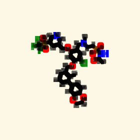 CC(=O)NS(=O)(=O)CCN(C)Cc1cc(Cl)c(OCc2cccc(-c3ccc4c(c3)OCCO4)c2C)cc1OCc1cncc(S(=O)(=O)C(F)(F)F)c1